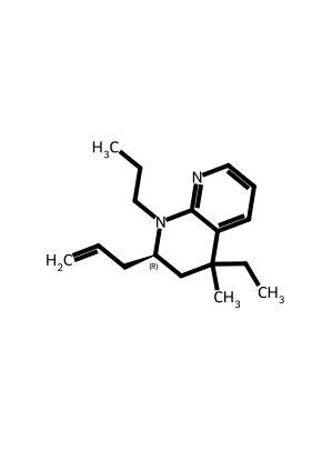 C=CC[C@@H]1CC(C)(CC)c2cccnc2N1CCC